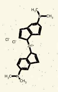 CN(C)c1ccc2c(c1)C=C[CH]2[Zr+2][CH]1C=Cc2cc(N(C)C)ccc21.[Cl-].[Cl-]